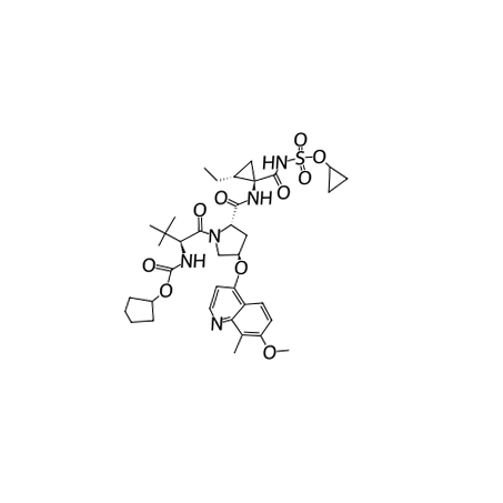 CC[C@@H]1C[C@]1(NC(=O)[C@@H]1C[C@@H](Oc2ccnc3c(C)c(OC)ccc23)CN1C(=O)[C@@H](NC(=O)OC1CCCC1)C(C)(C)C)C(=O)NS(=O)(=O)OC1CC1